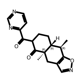 C[C@H]1c2oncc2C[C@@]2(C)C(=O)C(C(=O)c3ccncn3)CC[C@H]12